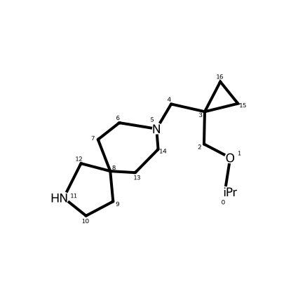 CC(C)OCC1(CN2CCC3(CCNC3)CC2)CC1